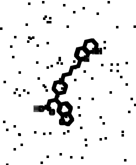 O=C(O)CC(c1ccc2c(c1)OCC2)C1CCN(CCCCc2ccc3c(n2)NCCC3)CC1